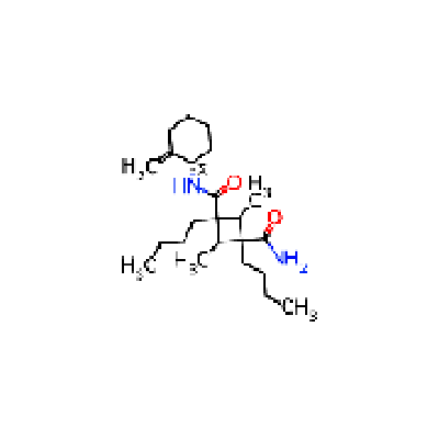 C=C1CCCC[C@@H]1NC(=O)C1(CCCC)C(C)C(CCCC)(C(N)=O)C1C